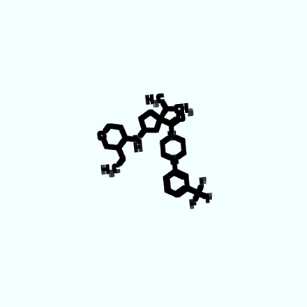 CCC1COCCC1NC1CC[C@@](C(=O)N2CCN(c3cccc(C(F)(F)F)c3)CC2)(C(C)C)C1